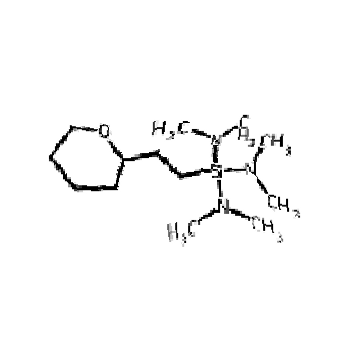 CN(C)[Si](CCC1CCCCO1)(N(C)C)N(C)C